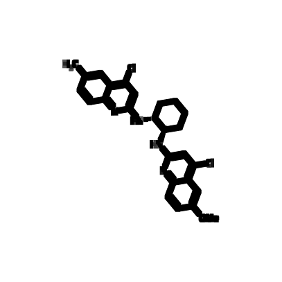 COc1ccc2nc(N[C@@H]3CCCC[C@H]3Nc3cc(Cl)c4cc(C)ccc4n3)cc(Cl)c2c1